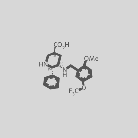 COc1ccc(OC(F)(F)F)cc1CN[C@H]1C[C@H](C(=O)O)CN[C@H]1c1ccccc1